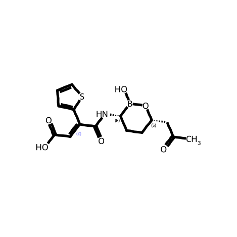 CC(=O)C[C@@H]1CC[C@H](NC(=O)/C(=C/C(=O)O)c2cccs2)B(O)O1